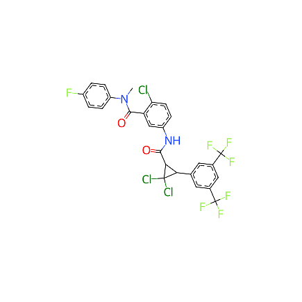 CN(C(=O)c1cc(NC(=O)C2C(c3cc(C(F)(F)F)cc(C(F)(F)F)c3)C2(Cl)Cl)ccc1Cl)c1ccc(F)cc1